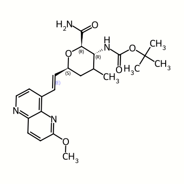 COc1ccc2nccc(/C=C/[C@@H]3CC(C)[C@@H](NC(=O)OC(C)(C)C)[C@H](C(N)=O)O3)c2n1